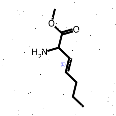 CCC/C=C/C(N)C(=O)OC